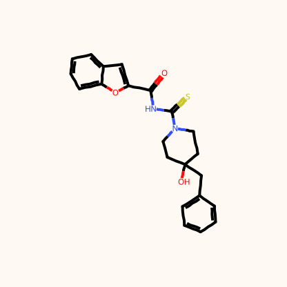 O=C(NC(=S)N1CCC(O)(Cc2ccccc2)CC1)c1cc2ccccc2o1